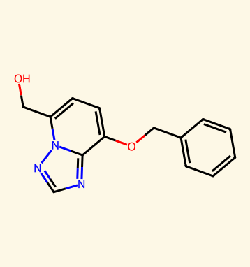 OCc1ccc(OCc2ccccc2)c2ncnn12